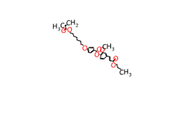 C=C(C)C(=O)OCCCCCCCCOc1ccc(C(=O)Oc2ccc(/C=C/C(=O)OCCCC)cc2OC)cc1